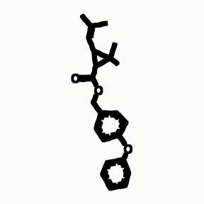 CC(C)=CC1C(C(=O)OCc2ccc(Oc3ccccc3)cc2)C1(C)C